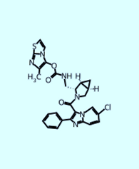 Cc1nc2sccn2c1OC(=O)NC[C@@H]1[C@H]2C[C@H]2CN1C(=O)c1c(-c2ccccc2)nc2ccc(Cl)cn12